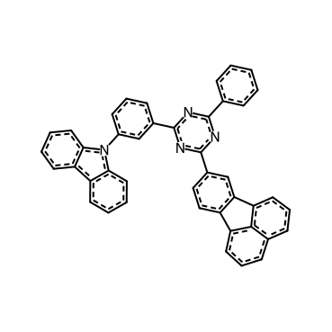 c1ccc(-c2nc(-c3cccc(-n4c5ccccc5c5ccccc54)c3)nc(-c3ccc4c(c3)-c3cccc5cccc-4c35)n2)cc1